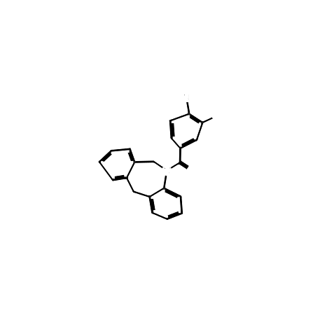 Cc1cc(C(=O)N2Cc3ccccc3Cc3ccccc32)ccc1[N+](=O)[O-]